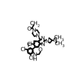 C=CC(=O)N1CCN(c2nc(N3CC(N(C)C)C3)nc3c4c(c(Cl)cc23)-c2c(F)c(Cl)cc(Cl)c2NCCO4)CC1